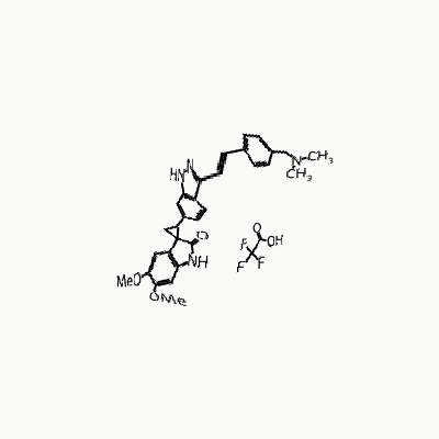 COc1cc2c(cc1OC)C1(CC1c1ccc3c(/C=C/c4ccc(CN(C)C)cc4)n[nH]c3c1)C(=O)N2.O=C(O)C(F)(F)F